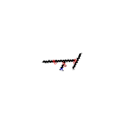 CC/C=C/CCCC(CCC/C=C/CC)OC(=O)CCCCCCCC(CCCCCCCC(=O)OC/C=C/CCCCCC)COC(=O)CCCN(C)C